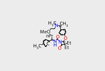 CCC[C@@H](NC(=O)N1C(=O)C(CC)(CC)[C@@H]1Oc1ccc([C@@H](C)N(C)CCOC)cc1)c1ccc(C)cc1